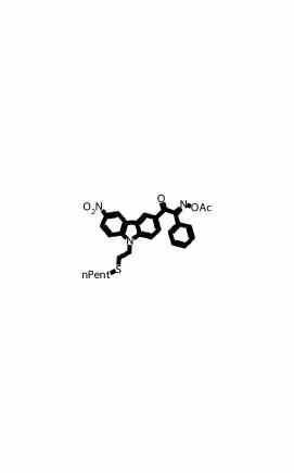 CCCCCSCCn1c2ccc(C(=O)/C(=N/OC(C)=O)c3ccccc3)cc2c2cc([N+](=O)[O-])ccc21